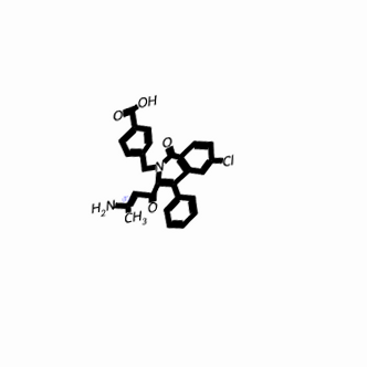 C/C(N)=C\C(=O)c1c(-c2ccccc2)c2cc(Cl)ccc2c(=O)n1Cc1ccc(C(=O)O)cc1